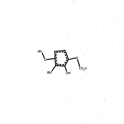 CCCOc1ccc(OC(=O)O)c(O)c1C(C)(C)C